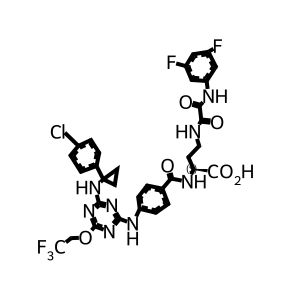 O=C(NCC[C@H](NC(=O)c1ccc(Nc2nc(NC3(c4ccc(Cl)cc4)CC3)nc(OCC(F)(F)F)n2)cc1)C(=O)O)C(=O)Nc1cc(F)cc(F)c1